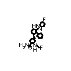 NC(=O)c1ccc(-n2c3ccccc3c3c(-c4nc5ccc(F)cc5[nH]4)cccc32)cc1NCCF